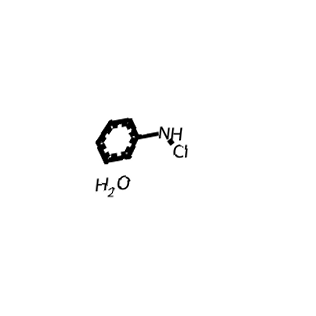 ClNc1ccccc1.O